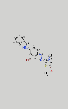 COc1cn(C)[c+](N=Nc2ccc(NCc3ccccc3)cc2)s1.[Br-]